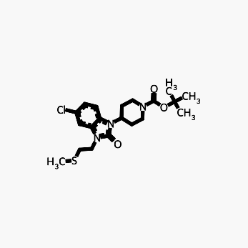 CSCCn1c(=O)n(C2CCN(C(=O)OC(C)(C)C)CC2)c2ccc(Cl)cc21